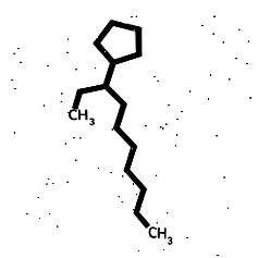 CCCCCCCC(CC)C1CCCC1